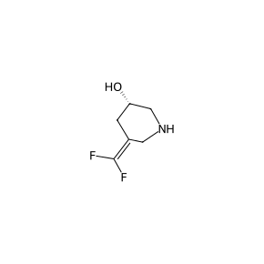 O[C@@H]1CNCC(=C(F)F)C1